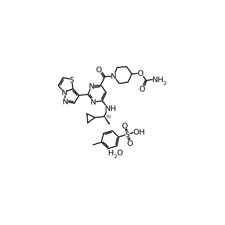 C[C@H](Nc1cc(C(=O)N2CCC(OC(N)=O)CC2)nc(-c2cnn3ccsc23)n1)C1CC1.Cc1ccc(S(=O)(=O)O)cc1.O